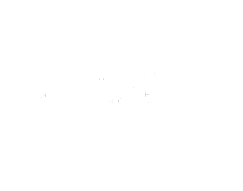 CC(C)(COC1CCCCC1CBr)[SiH](c1ccccc1)c1ccccc1